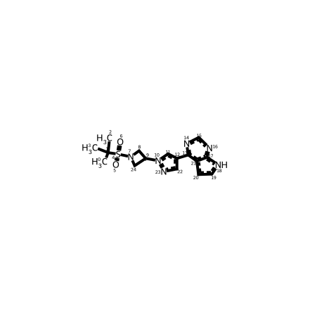 CC(C)(C)S(=O)(=O)N1C[C](n2cc(-c3ncnc4[nH]ccc34)cn2)C1